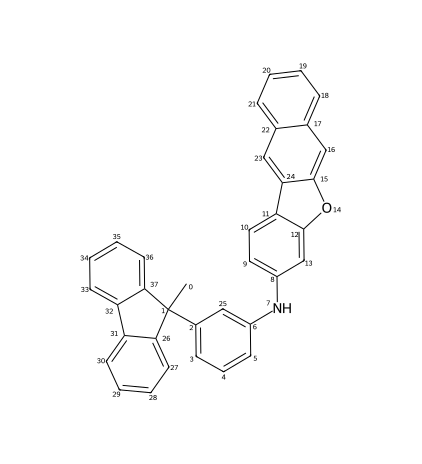 CC1(c2cccc(Nc3ccc4c(c3)oc3cc5ccccc5cc34)c2)c2ccccc2-c2ccccc21